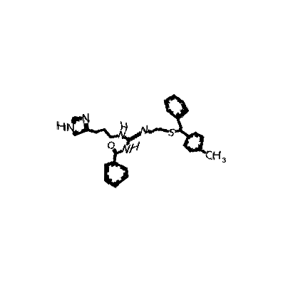 Cc1ccc(C(SCC/N=C(/NCCCc2c[nH]cn2)NC(=O)c2ccccc2)c2ccccc2)cc1